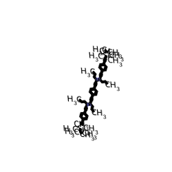 CCC/C(C#Cc1ccc(C#C/C(CCC)=C(/C#Cc2ccc(C#C[Si](C(C)C)(C(C)C)C(C)C)cc2)CCC)cc1)=C(\C#Cc1ccc(C#C[Si](C(C)C)(C(C)C)C(C)C)cc1)CCC